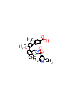 COc1ccc(-c2ccc(C(=O)O)cc2C)cc1-c1ccc(C)cc1CN1C(=O)O[C@H](c2ccnc(C)c2)[C@@H]1C